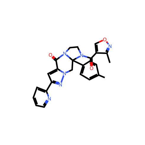 Cc1ccc(C23Cn4nc(-c5ccccn5)cc4C(=O)N2CCN3C(=O)c2conc2C)cc1